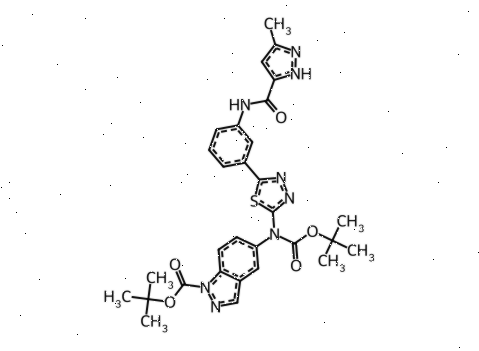 Cc1cc(C(=O)Nc2cccc(-c3nnc(N(C(=O)OC(C)(C)C)c4ccc5c(cnn5C(=O)OC(C)(C)C)c4)s3)c2)[nH]n1